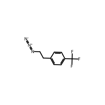 [N-]=[N+]=NCCc1ccc(C(F)(F)F)cc1